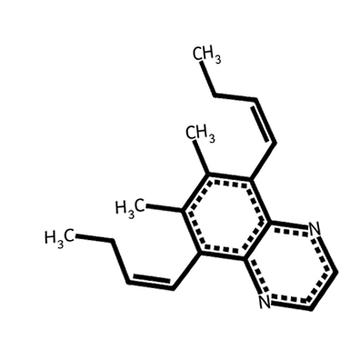 CC/C=C\c1c(C)c(C)c(/C=C\CC)c2nccnc12